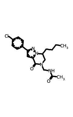 CCCCC1CN(CNC(C)=O)C(=O)c2cc(-c3ccc(Cl)cc3)nn21